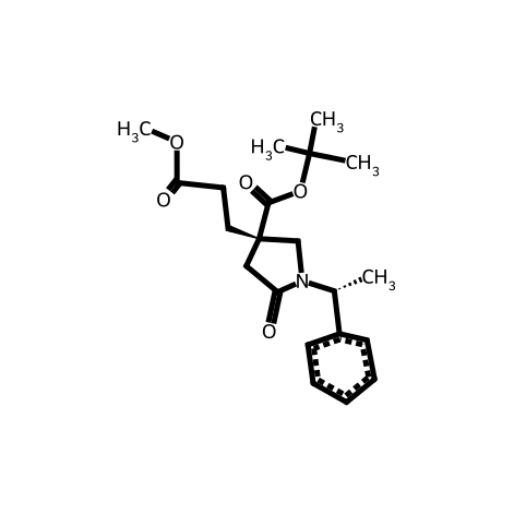 COC(=O)CC[C@]1(C(=O)OC(C)(C)C)CC(=O)N([C@H](C)c2ccccc2)C1